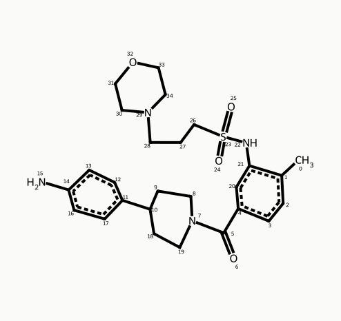 Cc1ccc(C(=O)N2CCC(c3ccc(N)cc3)CC2)cc1NS(=O)(=O)CCCN1CCOCC1